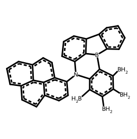 Bc1c(B)c(B)c2c(c1B)B1c3ccccc3-c3cccc(c31)N2c1ccc2ccc3cccc4ccc1c2c34